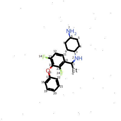 CCC(N[C@H]1CC[C@H](N)CC1)c1ccc(F)c(Oc2ccccc2)c1F